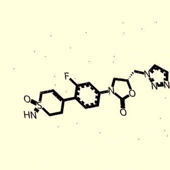 N=S1(=O)CC=C(c2ccc(N3C[C@H](Cn4ccnn4)OC3=O)cc2F)CC1